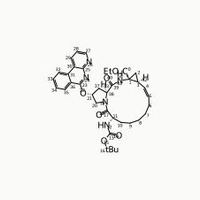 CCOC(=O)[C@@]12C[C@H]1C=CCCCCC[C@H](NC(=O)OC(C)(C)C)C(=O)N1C[C@H](Oc3nc4ncccc4c4ccccc34)C[C@H]1C(=O)N2